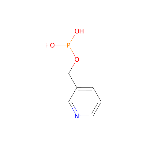 OP(O)OCc1cccnc1